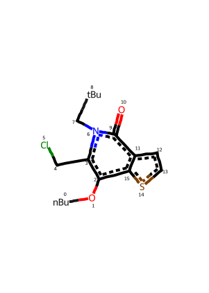 CCCCOc1c(CCl)n(CC(C)(C)C)c(=O)c2ccsc12